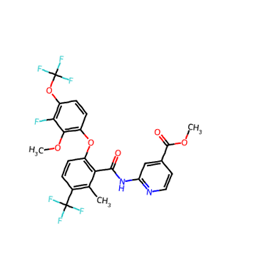 COC(=O)c1ccnc(NC(=O)c2c(Oc3ccc(OC(F)(F)F)c(F)c3OC)ccc(C(F)(F)F)c2C)c1